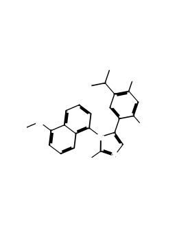 COc1cccc2c(-n3c(-c4cc(C(C)C)c(O)cc4O)cnc3S)cccc12